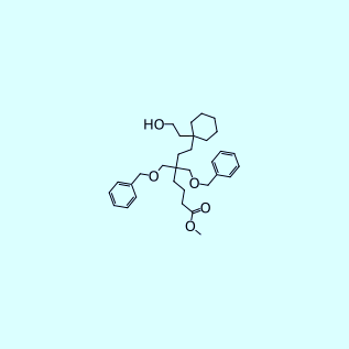 COC(=O)CCCC(CCC1(CCO)CCCCC1)(COCc1ccccc1)COCc1ccccc1